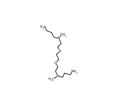 CN(CCCN)CCOCCOCCN(C)CCCN